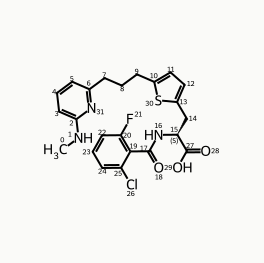 CNc1cccc(CCCc2ccc(C[C@H](NC(=O)c3c(F)cccc3Cl)C(=O)O)s2)n1